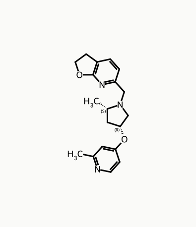 Cc1cc(O[C@@H]2C[C@H](C)N(Cc3ccc4c(n3)OCC4)C2)ccn1